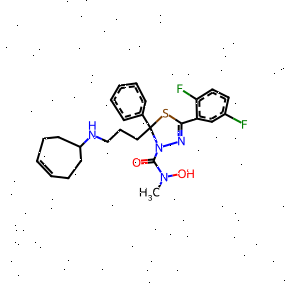 CN(O)C(=O)N1N=C(c2cc(F)ccc2F)SC1(CCCNC1CCC=CCC1)c1ccccc1